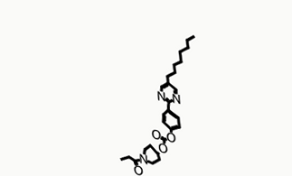 CCCCCCCCc1cnc(-c2ccc(OC(=O)OC3CCN(C(=O)CC)CC3)cc2)nc1